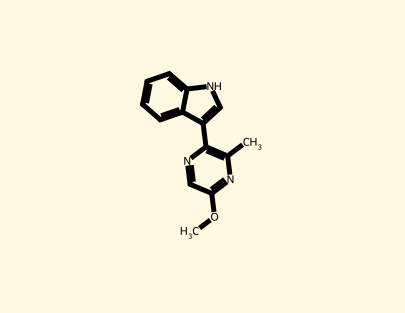 COc1cnc(-c2c[nH]c3ccccc23)c(C)n1